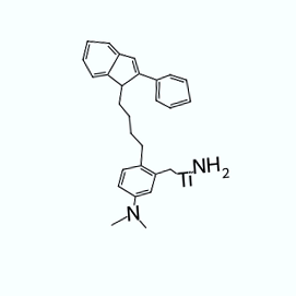 CN(C)c1ccc(CCCCC2C(c3ccccc3)=Cc3ccccc32)c([CH2][Ti][NH2])c1